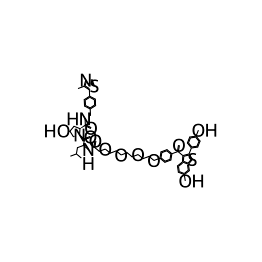 Cc1ncsc1-c1ccc(CNC(=O)[C@@H]2C[C@@H](O)CN2C(=O)C(CC(C)C)NC(=O)COCCOCCOCCOc2ccc(C(=O)c3c(-c4ccc(O)cc4)sc4cc(O)ccc34)cc2)cc1